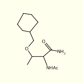 CC(=O)NC(C(N)=O)C(C)OCC1CCCCC1